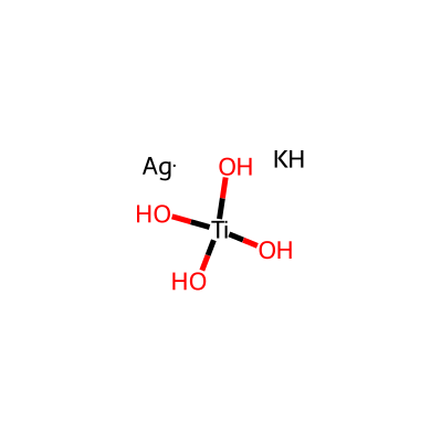 [Ag].[KH].[OH][Ti]([OH])([OH])[OH]